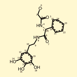 [O]CC(=O)N[C@@H](C(=O)NCCc1cc(O)c(O)c(O)c1)c1ccccc1